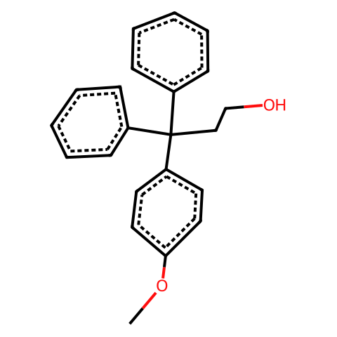 COc1ccc(C(CCO)(c2ccccc2)c2ccccc2)cc1